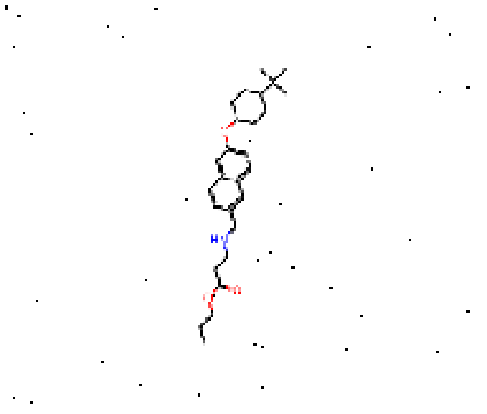 CCCOC(=O)CCNCc1ccc2cc(OC3CCC(C(C)(C)C)CC3)ccc2c1